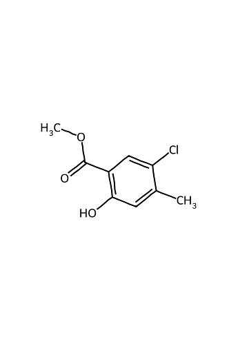 COC(=O)c1cc(Cl)c(C)cc1O